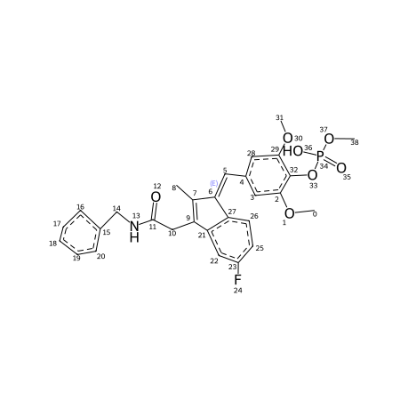 COc1cc(/C=C2/C(C)=C(CC(=O)NCc3ccccc3)c3cc(F)ccc32)cc(OC)c1OP(=O)(O)OC